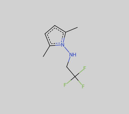 Cc1ccc(C)n1NCC(F)(F)F